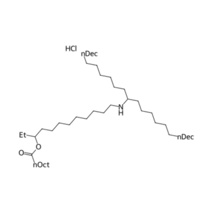 CCCCCCCCCCCCCCCCC(CCCCCCCCCCCCCCCC)NCCCCCCCCCC(CC)OC(=O)CCCCCCCC.Cl